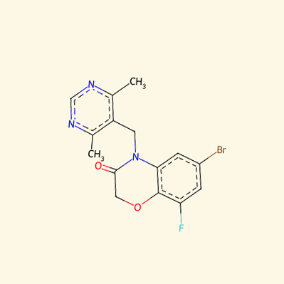 Cc1ncnc(C)c1CN1C(=O)COc2c(F)cc(Br)cc21